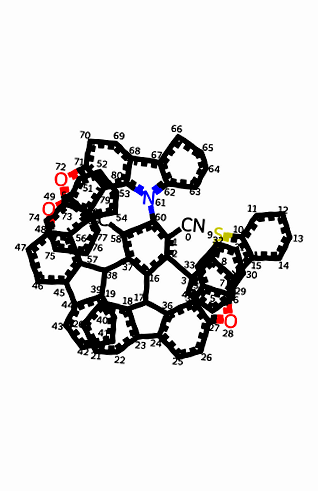 N#Cc1c(-c2cccc3c2sc2ccccc23)c(C2c3ccccc3-c3ccc4oc5ccccc5c4c32)c(C2c3ccccc3-c3ccc4oc5ccccc5c4c32)c(C#N)c1-n1c2ccccc2c2ccc3oc4ccccc4c3c21